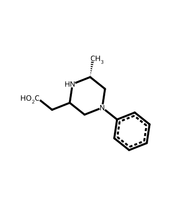 C[C@@H]1CN(c2ccccc2)CC(CC(=O)O)N1